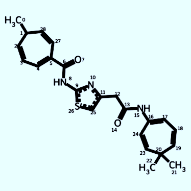 CC1C=CC=C(C(=O)Nc2nc(CC(=O)NC3=CC=CC(C)(C)C=C3)cs2)C=C1